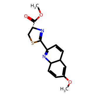 COC(=O)[C@H]1CSC(C2=NC3C=CC(OC)=CC3C=C2)=N1